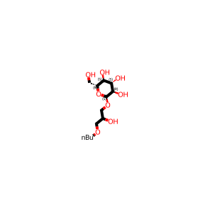 CCCCOCC(O)CO[C@H]1O[C@H](CO)[C@@H](O)[C@H](O)[C@H]1O